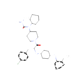 COc1ccccc1N[C@H]1CC[C@H](N[C@H](Cc2ccc(Cl)cc2)C(=O)N2CCC(N(C(=O)N(C)C)C3CCCCC3)CC2)CC1